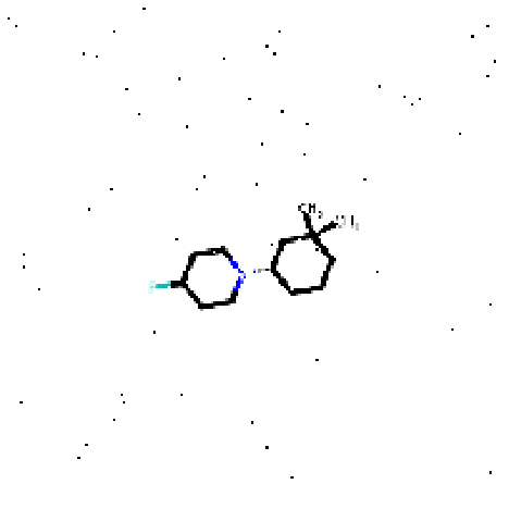 CC1(C)CCC[C@H](N2CCC(F)CC2)C1